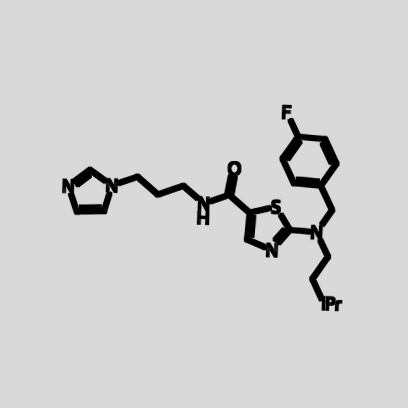 CC(C)CCN(Cc1ccc(F)cc1)c1ncc(C(=O)NCCCn2ccnc2)s1